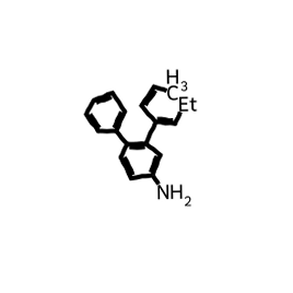 C/C=C\C(=C/CC)c1cc(N)ccc1-c1ccccc1